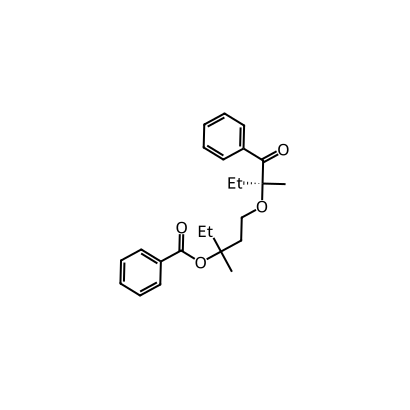 CCC(C)(CCO[C@@](C)(CC)C(=O)c1ccccc1)OC(=O)c1ccccc1